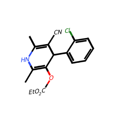 CCOC(=O)OC1=C(C)NC(C)=C(C#N)C1c1ccccc1Cl